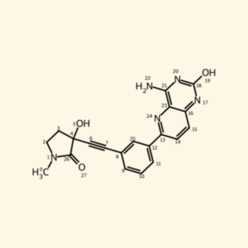 CN1CCC(O)(C#Cc2cccc(-c3ccc4nc(O)nc(N)c4n3)c2)C1=O